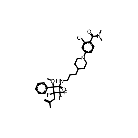 C=C(C)CC(F)(C(F)(F)F)C(OC)(C(=O)NCCCC1CCN(c2ccc(C(=O)N(C)C)c(Cl)c2)CC1)c1ccccc1